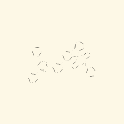 c1ccc(-c2cc(-c3ccccc3)nc(-c3cccc(-c4ccc5c(c4)C4(c6ccccc6-5)c5ccccc5N(c5ccccc5)c5ccccc54)c3)n2)cc1